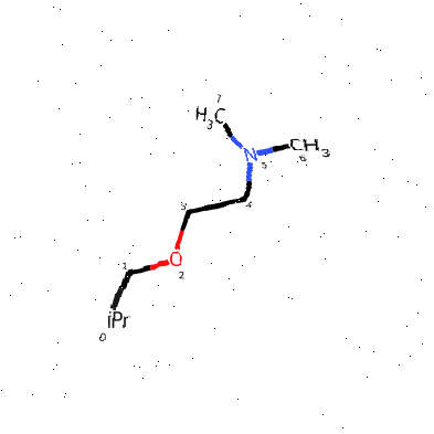 CC(C)COCCN(C)C